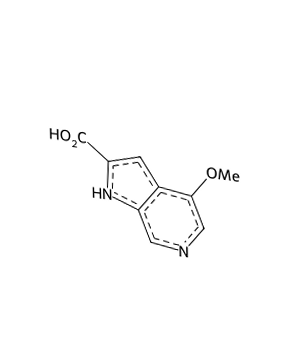 COc1cncc2[nH]c(C(=O)O)cc12